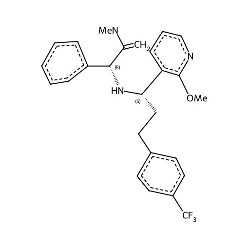 C=C(NC)[C@H](N[C@@H](CCc1ccc(C(F)(F)F)cc1)c1cccnc1OC)c1ccccc1